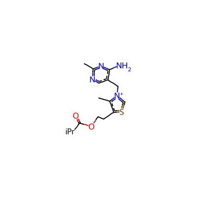 Cc1ncc(C[n+]2csc(CCOC(=O)C(C)C)c2C)c(N)n1